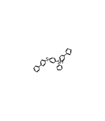 c1ccc(-c2ccc(Sc3ccc([SH](c4ccccc4)c4ccc(-c5ccccc5)cc4)cc3)cc2)cc1